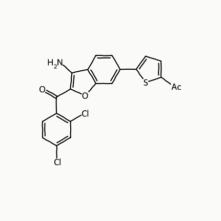 CC(=O)c1ccc(-c2ccc3c(N)c(C(=O)c4ccc(Cl)cc4Cl)oc3c2)s1